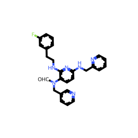 O=CN(Cc1cccnc1)c1ccc(NCc2ccccn2)nc1NCCc1cccc(F)c1